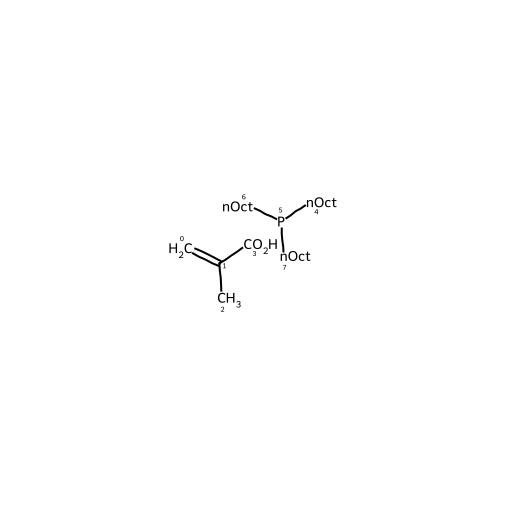 C=C(C)C(=O)O.CCCCCCCCP(CCCCCCCC)CCCCCCCC